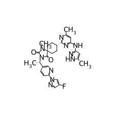 Cc1cc(Nc2cc(C)[nH]n2)nc([C@H]2CC[C@@]3(CC2)C(=O)N([C@@H](C)c2ccc(-n4cc(F)cn4)nc2)C(=O)N3C)n1